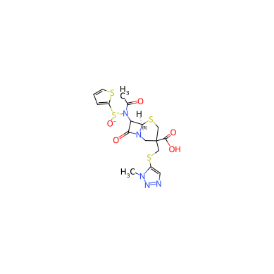 CC(=O)N(C1C(=O)N2CC(CSc3cnnn3C)(C(=O)O)CS[C@H]12)[S+]([O-])c1cccs1